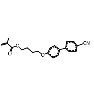 C=C(C)C(=O)OCCCCOc1ccc(-c2ccc(C#N)cc2)cc1